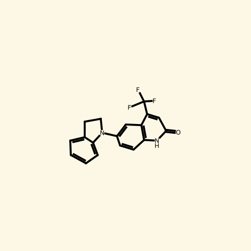 O=c1cc(C(F)(F)F)c2cc(N3CCc4ccccc43)ccc2[nH]1